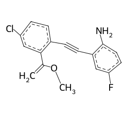 C=C(OC)c1cc(Cl)ccc1C#Cc1cc(F)ccc1N